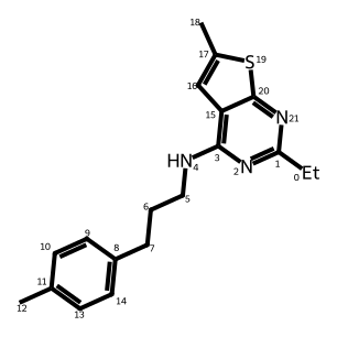 CCc1nc(NCCCc2ccc(C)cc2)c2cc(C)sc2n1